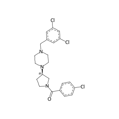 O=C(c1ccc(Cl)cc1)N1CC[C@@H](N2CCN(Cc3cc(Cl)cc(Cl)c3)CC2)C1